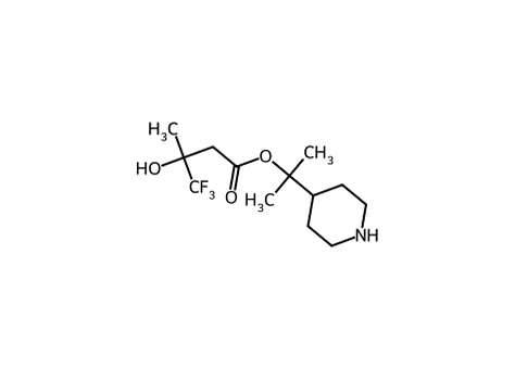 CC(C)(OC(=O)CC(C)(O)C(F)(F)F)C1CCNCC1